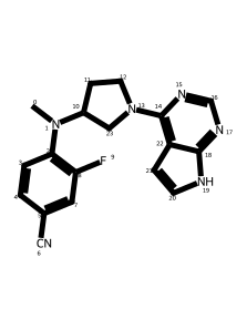 CN(c1ccc(C#N)cc1F)C1CCN(c2ncnc3[nH]ccc23)C1